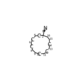 N#CC1CCCCCCCCCCCCCC1